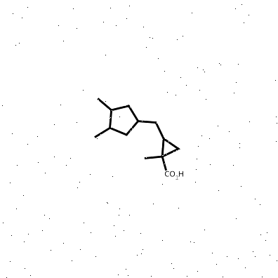 CC1CC(CC2CC2(C)C(=O)O)CC1C